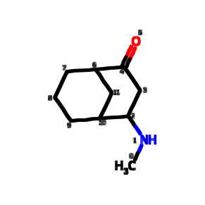 CNC1CC(=O)C2CCCC1C2